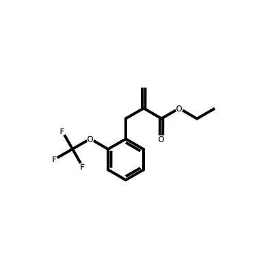 C=C(Cc1ccccc1OC(F)(F)F)C(=O)OCC